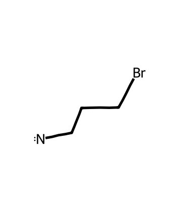 [N]CCCBr